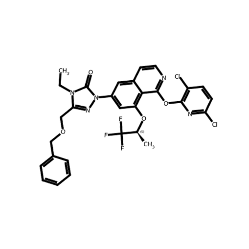 CCn1c(COCc2ccccc2)nn(-c2cc(O[C@@H](C)C(F)(F)F)c3c(Oc4nc(Cl)ccc4Cl)nccc3c2)c1=O